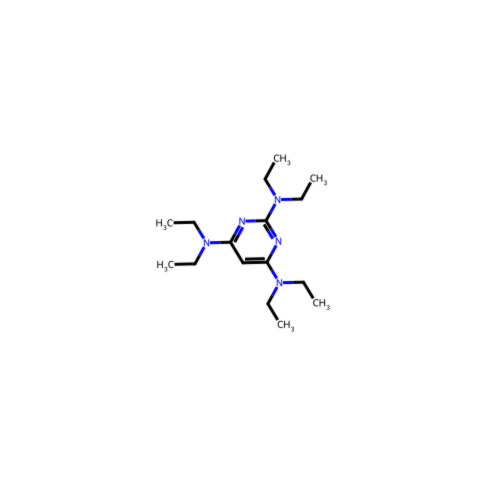 CCN(CC)c1cc(N(CC)CC)nc(N(CC)CC)n1